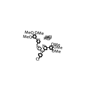 COc1cc(-c2cncc(CN(c3ccc(Cl)cc3)C3CCN(Cc4ccnc(-c5cc(OC)c(OC)c(OC)c5)c4)CC3)c2)cc(OC)c1OC.Cl.Cl.Cl